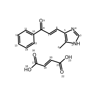 Cc1[nH]cnc1C=CC(=O)c1ccccc1.O=C(O)C=CC(=O)O